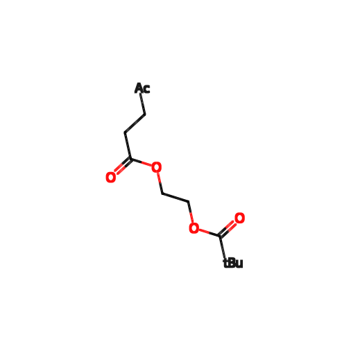 CC(=O)CCC(=O)OCCOC(=O)C(C)(C)C